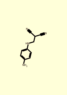 N#CC(C#N)CNc1ccc(N)cc1